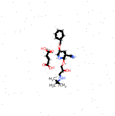 CC(C)(C)NCC(O)COc1ncc(OCc2ccccc2)cc1C#N.O=C(O)C=CC(=O)O